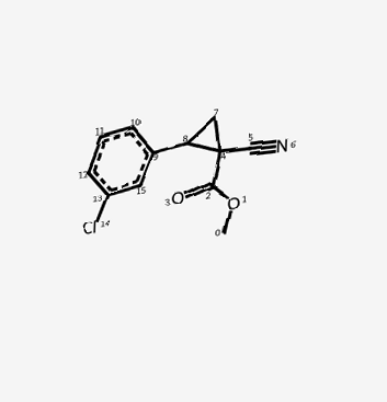 COC(=O)C1(C#N)CC1c1cccc(Cl)c1